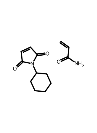 C=CC(N)=O.O=C1C=CC(=O)N1C1CCCCC1